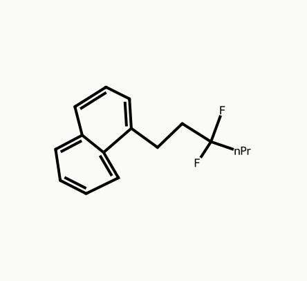 [CH2]CCC(F)(F)CCc1cccc2ccccc12